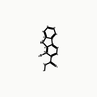 COC(=O)c1ccc2c3ccccc3[nH]c2[n+]1[O-]